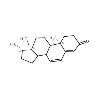 C[C@H]1CCC2C3C=CC4=CC(=O)CC[C@]4(C)C3CC[C@@]21C